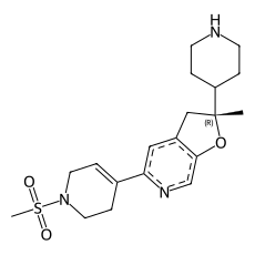 C[C@]1(C2CCNCC2)Cc2cc(C3=CCN(S(C)(=O)=O)CC3)ncc2O1